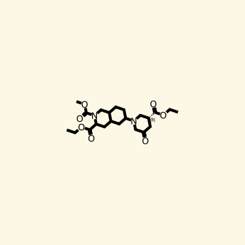 CCOC(=O)C1CC2CC(N3CC(=O)C[C@@H](C(=O)OCC)C3)CCC2CN1C(=O)OC